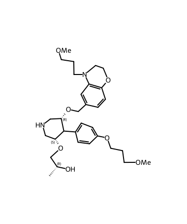 COCCCOc1ccc(C2[C@@H](OCc3ccc4c(c3)N(CCCOC)CCO4)CNC[C@H]2OC[C@@H](C)O)cc1